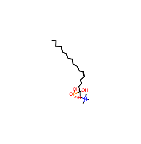 CCCCCCCCCCC/C=C\CCCC(O)(C[N+](C)(C)C)P(=O)(O)O